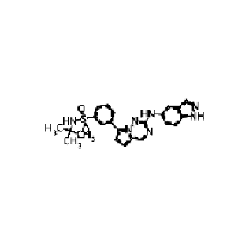 CC(C)(C)NS(=O)(=O)c1cccc(-c2ccc3cnc(Nc4ccc5[nH]ncc5c4)nn23)c1